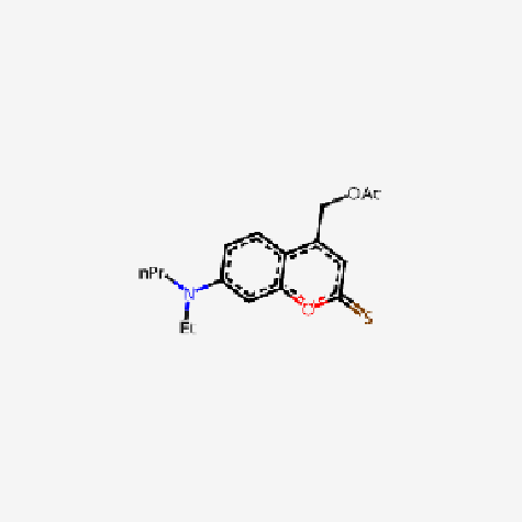 CCCN(CC)c1ccc2c(COC(C)=O)cc(=S)oc2c1